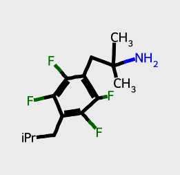 CC(C)Cc1c(F)c(F)c(CC(C)(C)N)c(F)c1F